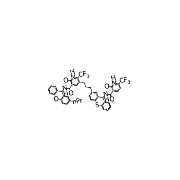 CCCc1ccc2c(c1)C(NC(=O)c1cc(CCCc3ccc4c(c3)C(NC(=O)c3ccc(C(F)(F)F)[nH]c3=O)c3ccccc3S4)c(C(F)(F)F)[nH]c1=O)c1ccccc1O2